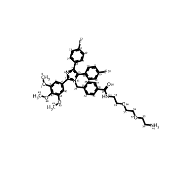 COc1cc(-c2nc(-c3ccc(F)cc3)c(-c3ccc(F)cc3)n2Cc2ccc(C(=O)NCCOCCOCCN)cc2)cc(OC)c1OC